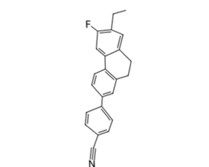 CCc1cc2c(cc1F)-c1ccc(-c3ccc(C#N)cc3)cc1CC2